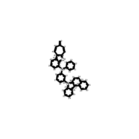 C=C1C=Cc2oc3c(N(c4ccccc4)c4cccc(-n5c6ccccc6c6c7ccccc7ccc65)c4)cccc3c2C=C1